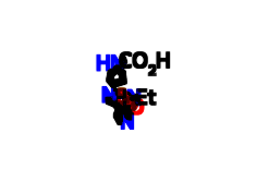 CCNS(=O)(=O)c1cnccc1-c1cnc([C@H]2CC[C@H](NC(=O)O)CC2)s1